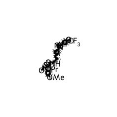 COc1ccc(N2C(=O)CS/C2=N\C(=O)NCCC(C)Cc2ccc(-c3ncn(-c4ccc(OC(F)(F)F)cc4)n3)cc2)c(C(C)C)c1